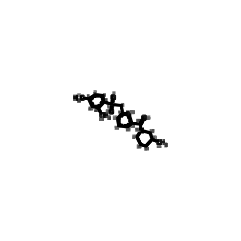 Cc1ccc(S(=O)(=O)Cc2cccc(C(=O)N3CCCC(C)C3)n2)c(C)c1